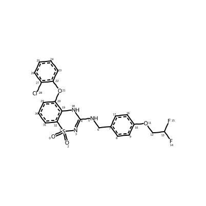 O=S1(=O)N=C(NCc2ccc(OCC(F)F)cc2)Nc2c(Oc3ccccc3Cl)cccc21